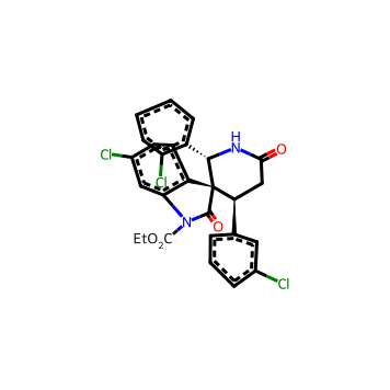 CCOC(=O)N1C(=O)[C@@]2(c3ccc(Cl)cc31)[C@H](c1cccc(Cl)c1)CC(=O)N[C@H]2c1ccccc1Cl